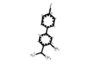 CC(C)c1cnc(-c2ccc(F)cc2)cc1N